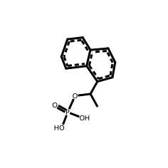 CC(OP(=O)(O)O)c1cccc2ccccc12